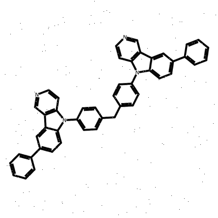 c1ccc(-c2ccc3c(c2)c2cnccc2n3-c2ccc(Cc3ccc(-n4c5ccncc5c5cc(-c6ccccc6)ccc54)cc3)cc2)cc1